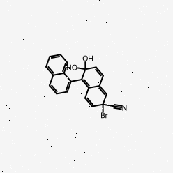 N#CC1(Br)C=CC2=C(c3cccc4ccccc34)C(O)(O)C=CC2=C1